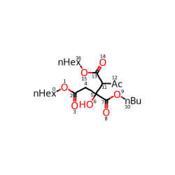 CCCCCCOC(=O)CC(O)(C(=O)OCCCC)C(C(C)=O)C(=O)OCCCCCC